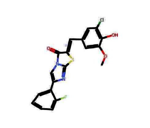 COc1cc(/C=c2\sc3nc(-c4ccccc4F)cn3c2=O)cc(Cl)c1O